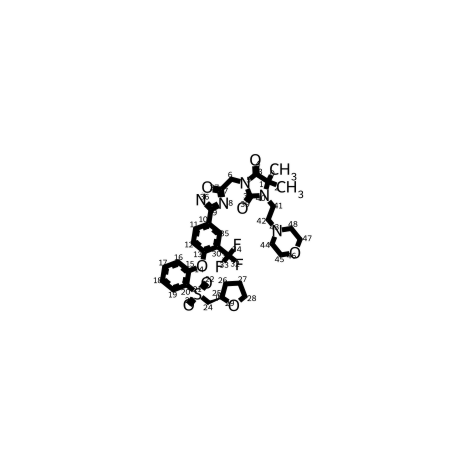 CC1(C)C(=O)N(Cc2nc(-c3ccc(Oc4ccccc4S(=O)(=O)C[C@H]4CCCO4)c(C(F)(F)F)c3)no2)C(=O)N1CCN1CCOCC1